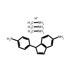 CN.CN.CN.Nc1ccc(C2C=Cc3cc(N)ccc32)cc1.[H+]